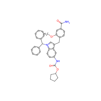 COc1cc(C(N)=O)ccc1Cc1cn(C(c2ccccc2)c2ccccc2)c2ccc(NC(=O)OC3CCCC3)cc12